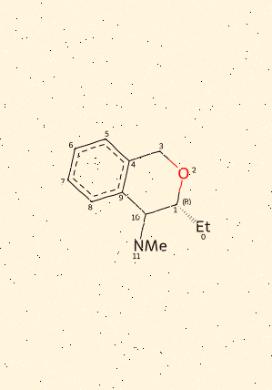 CC[C@H]1OCc2ccccc2C1NC